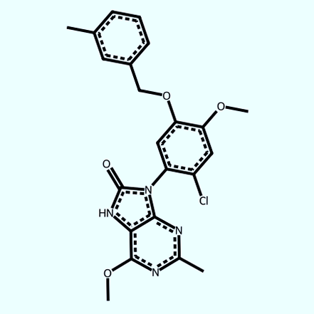 COc1cc(Cl)c(-n2c(=O)[nH]c3c(OC)nc(C)nc32)cc1OCc1cccc(C)c1